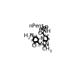 CCCCCS(=O)(=O)NC(=O)c1ccc2nc(C)n(Cc3ccc(N)cc3Cl)c2n1